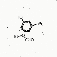 CCCc1cccc(O)c1.CCOC=O